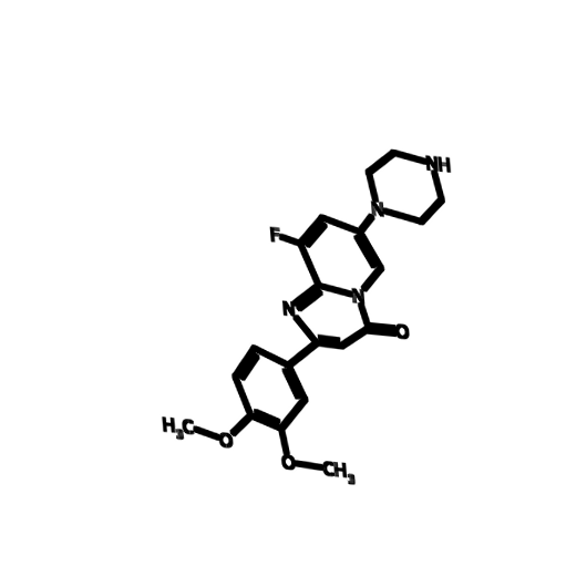 COc1ccc(-c2cc(=O)n3cc(N4CCNCC4)cc(F)c3n2)cc1OC